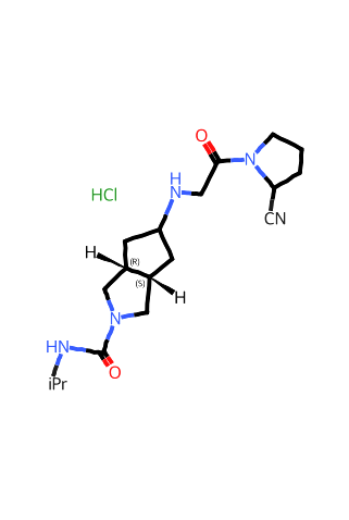 CC(C)NC(=O)N1C[C@H]2CC(NCC(=O)N3CCCC3C#N)C[C@H]2C1.Cl